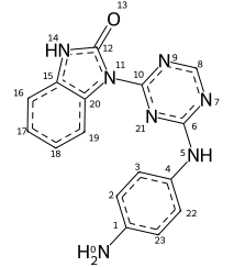 Nc1ccc(Nc2ncnc(-n3c(=O)[nH]c4ccccc43)n2)cc1